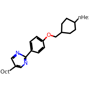 CCCCCCCCc1cnc(-c2ccc(OCC3CCC(CCCCCC)CC3)cc2)nc1